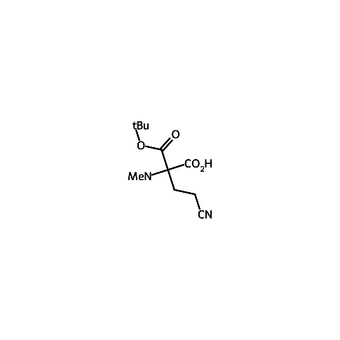 CNC(CCC#N)(C(=O)O)C(=O)OC(C)(C)C